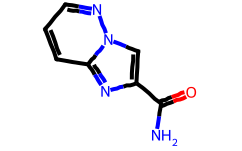 NC(=O)c1cn2ncccc2n1